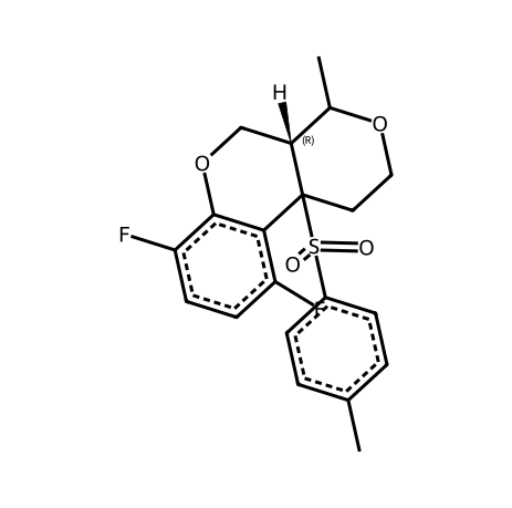 Cc1ccc(S(=O)(=O)C23CCOC(C)[C@H]2COc2c(F)ccc(F)c23)cc1